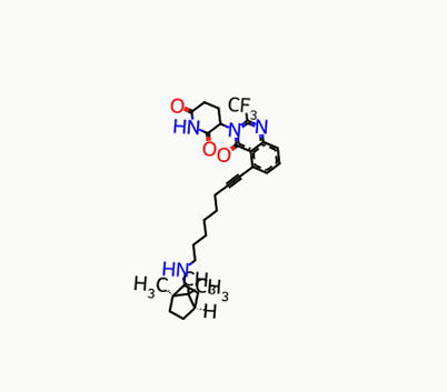 CC1(C)[C@@H]2CC[C@@]1(C)[C@@H](NCCCCCCC#Cc1cccc3nc(C(F)(F)F)n(C4CCC(=O)NC4=O)c(=O)c13)C2